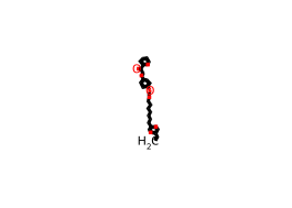 C=Cc1ccc(CCCCCCCCCOc2ccc(/C=C/C(=O)c3ccccc3)cc2)cc1